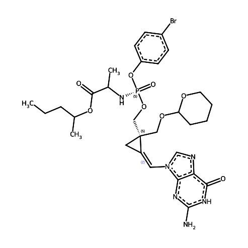 CCCC(C)OC(=O)C(C)N[P@](=O)(OC[C@@]1(COC2CCCCO2)C/C1=C/n1cnc2c(=O)[nH]c(N)nc21)Oc1ccc(Br)cc1